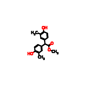 COC(=O)C(c1ccc(O)c(C)c1)c1ccc(O)c(C)c1